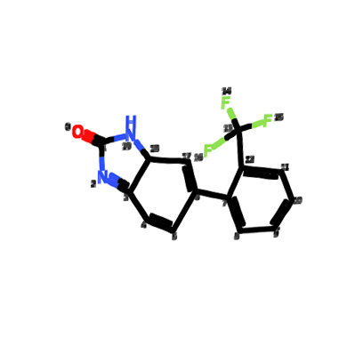 O=C1N=C2C=CC(c3c[c]ccc3C(F)(F)F)=CC2N1